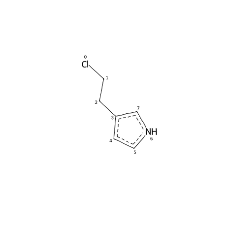 ClCCc1cc[nH]c1